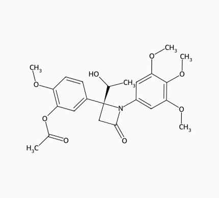 COc1ccc([C@@]2(C(C)O)CC(=O)N2c2cc(OC)c(OC)c(OC)c2)cc1OC(C)=O